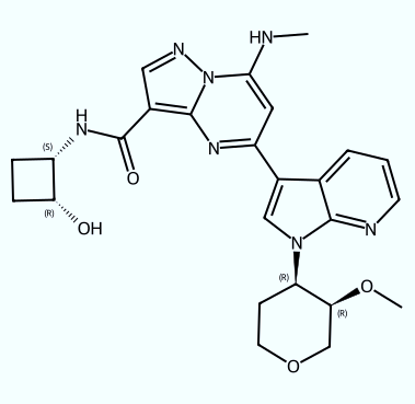 CNc1cc(-c2cn([C@@H]3CCOC[C@@H]3OC)c3ncccc23)nc2c(C(=O)N[C@H]3CC[C@H]3O)cnn12